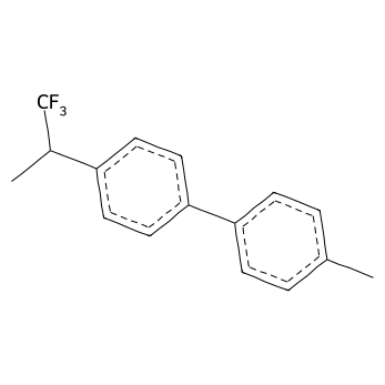 Cc1ccc(-c2ccc(C(C)C(F)(F)F)cc2)cc1